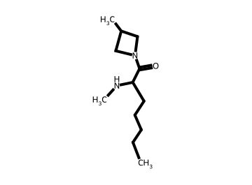 CCCCCC(NC)C(=O)N1CC(C)C1